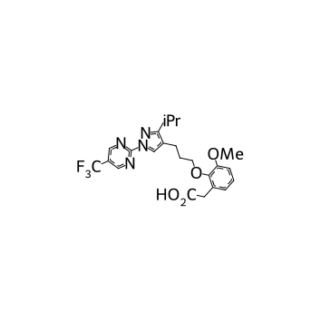 COc1cccc(CC(=O)O)c1OCCCc1cn(-c2ncc(C(F)(F)F)cn2)nc1C(C)C